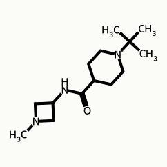 CN1CC(NC(=O)C2CCN(C(C)(C)C)CC2)C1